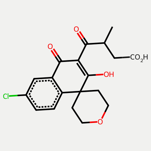 CC(CC(=O)O)C(=O)C1=C(O)C2(CCOCC2)c2ccc(Cl)cc2C1=O